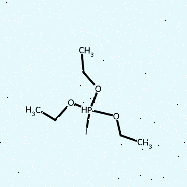 CCO[PH](I)(OCC)OCC